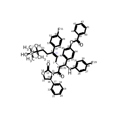 CC(C)(CC/C(=C\C[C@@H](C(=O)N1C(=O)OC[C@@H]1c1ccccc1)[C@H](Nc1ccc(F)cc1)c1ccc(OC(=O)c2ccccc2)cc1)c1ccc(F)cc1)[Si](C)(C)O